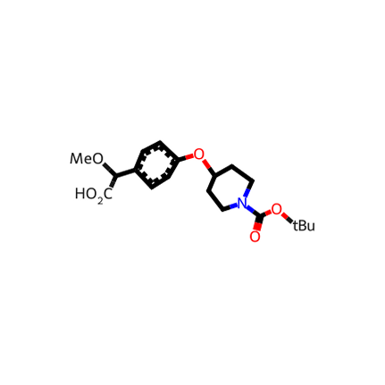 COC(C(=O)O)c1ccc(OC2CCN(C(=O)OC(C)(C)C)CC2)cc1